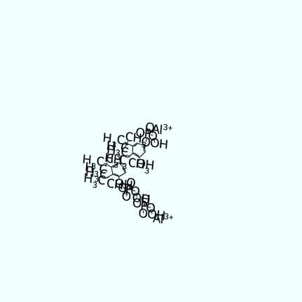 CC(C)(C)c1cccc(O)c1C(C)(C)C.CC(C)(C)c1cccc(O)c1C(C)(C)C.O=P([O-])([O-])OO.O=P([O-])([O-])OO.O=P([O-])([O-])OO.[Al+3].[Al+3]